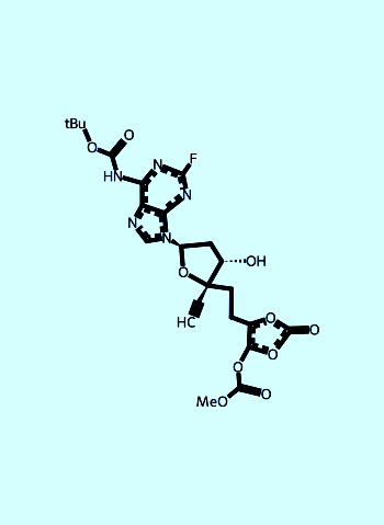 C#C[C@@]1(CCc2oc(=O)oc2OC(=O)OC)O[C@@H](n2cnc3c(NC(=O)OC(C)(C)C)nc(F)nc32)C[C@@H]1O